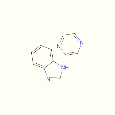 c1ccc2[nH]cnc2c1.c1cnccn1